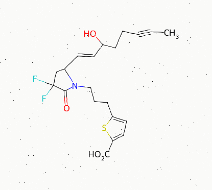 CC#CCCC(O)C=CC1CC(F)(F)C(=O)N1CCCc1ccc(C(=O)O)s1